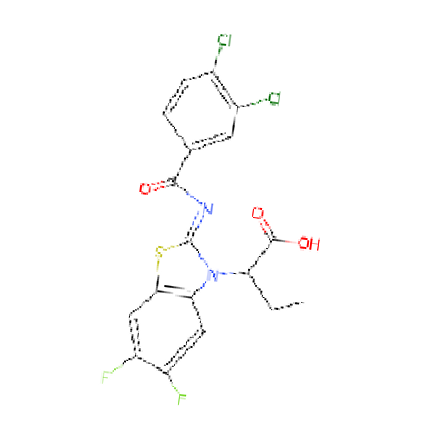 CCC(C(=O)O)n1c(=NC(=O)c2ccc(Cl)c(Cl)c2)sc2cc(F)c(F)cc21